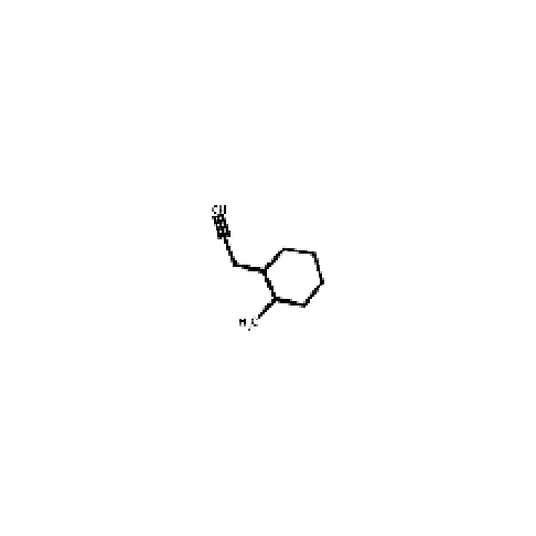 C#CCC1CCCCC1C